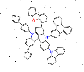 c1ccc(-c2ccc(N3c4ccc(-c5ccccc5)cc4B4c5ccc(-n6c7ccccc7c7ccccc76)cc5N(c5ccc6c7ccccc7c7ccccc7c6c5)c5cc(-c6cccc7c6oc6ccccc67)cc3c54)cc2)cc1